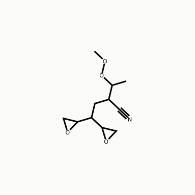 COOC(C)C(C#N)CC(C1CO1)C1CO1